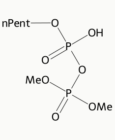 CCCCCOP(=O)(O)OP(=O)(OC)OC